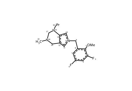 COc1c(F)cc(F)cc1Cn1cc2c(c1)N(C(C)C)CN(C)C2